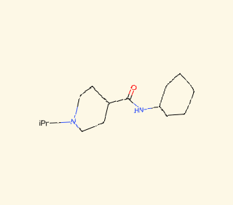 CC(C)N1CCC(C(=O)NC2CCCCC2)CC1